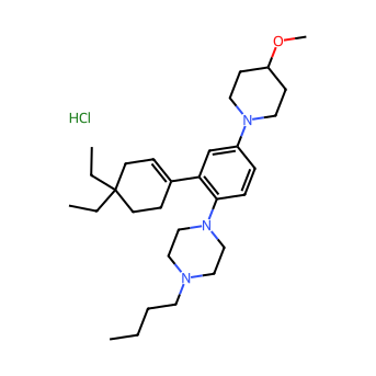 CCCCN1CCN(c2ccc(N3CCC(OC)CC3)cc2C2=CCC(CC)(CC)CC2)CC1.Cl